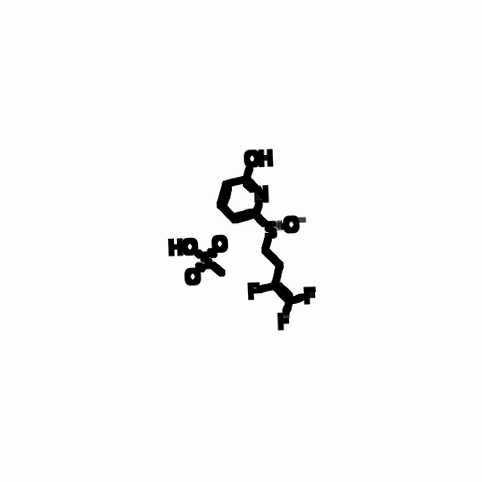 CS(=O)(=O)O.[O-][S+](CCC(F)=C(F)F)c1cccc(O)n1